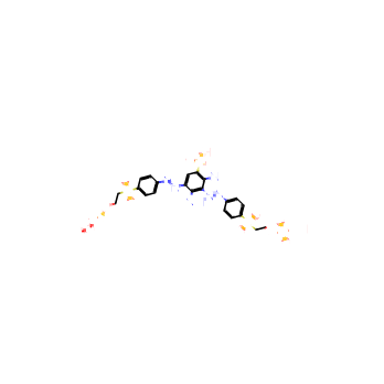 Nc1c(/N=N/c2ccc(S(=O)(=O)CCOSOOO)cc2)cc(S(=O)(=O)O)c(N)c1/N=N/c1ccc(S(=O)(=O)CCOS(=O)(=O)O)cc1